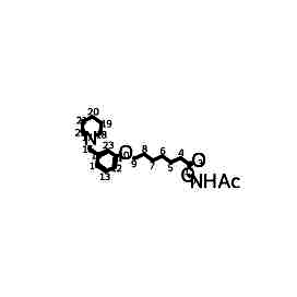 CC(=O)NOC(=O)CCCCCCOc1cccc(CN2CCCCC2)c1